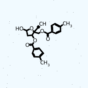 C#CC1(COC(=O)c2ccc(C)cc2)OC(O)CC1OC(=O)c1ccc(C)cc1